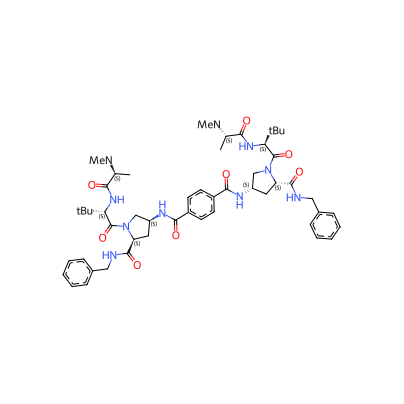 CN[C@@H](C)C(=O)N[C@H](C(=O)N1C[C@@H](NC(=O)c2ccc(C(=O)N[C@H]3C[C@@H](C(=O)NCc4ccccc4)N(C(=O)[C@@H](NC(=O)[C@H](C)NC)C(C)(C)C)C3)cc2)C[C@H]1C(=O)NCc1ccccc1)C(C)(C)C